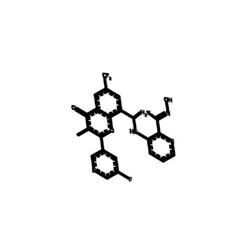 Cc1c(-c2cncc(F)c2)oc2c(C(C)Nc3cccnc3C(N)=NO)cc(C(F)(F)F)cc2c1=O